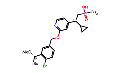 CO[C@H](c1cc(COc2cc([C@@H](CP(C)(=O)O)C3CC3)ccn2)ccc1Br)C(C)(C)C